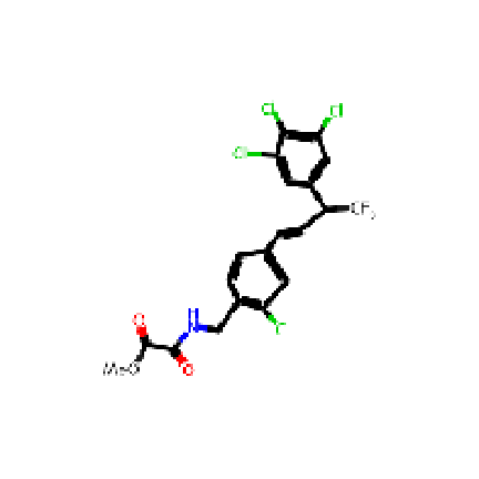 COC(=O)C(=O)NCc1ccc(C=CC(c2cc(Cl)c(Cl)c(Cl)c2)C(F)(F)F)cc1Cl